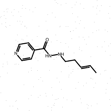 CC=CCCNNC(=O)c1ccncc1